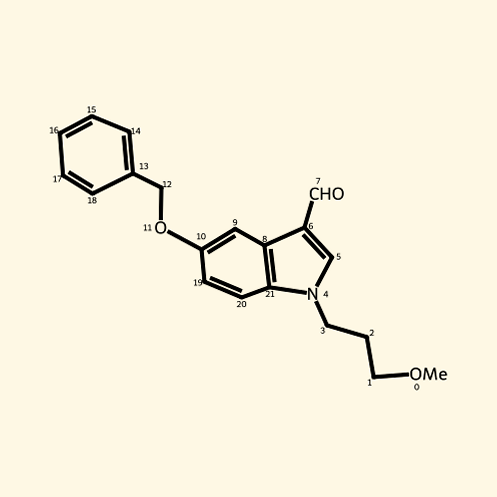 COCCCn1cc(C=O)c2cc(OCc3ccccc3)ccc21